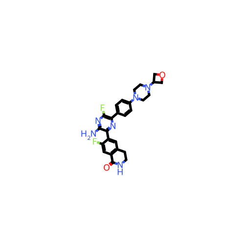 Nc1nc(F)c(-c2ccc(N3CCN(C4COC4)CC3)cc2)nc1-c1cc2c(cc1F)C(=O)NCC2